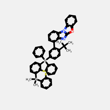 CC(C)(C)c1ccc([Si](c2ccccc2)(c2ccccc2)c2cccc3c2Sc2ccccc2[Si]3(C)C)cc1-c1cccc2c1nc1oc3ccccc3n12